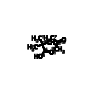 CC(C)(C)C(=O)O.CC(C)=O